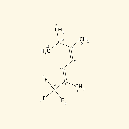 C/C(=C/C=C(\C)C(F)(F)F)C(C)C